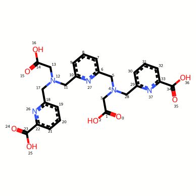 O=C(O)CN(Cc1cccc(CN(CC(=O)O)Cc2cccc(C(=O)O)n2)n1)Cc1cccc(C(=O)O)n1